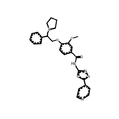 COc1cc(C(=O)Nc2nnc(-c3ccncc3)s2)ccc1OCC(c1ccccc1)N1CCCC1